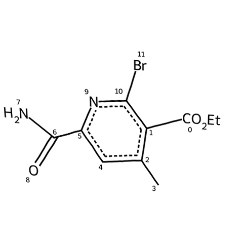 CCOC(=O)c1c(C)cc(C(N)=O)nc1Br